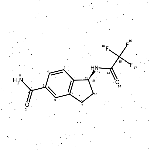 NC(=O)c1ccc2c(c1)CC[C@@H]2NC(=O)C(F)(F)F